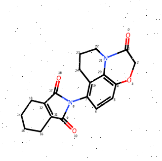 O=C1COc2ccc(N3C(=O)C4=C(CCCC4)C3=O)c3c2N1CCC3